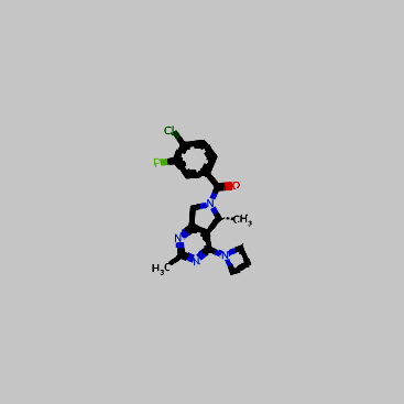 Cc1nc2c(c(N3CCC3)n1)[C@@H](C)N(C(=O)c1ccc(Cl)c(F)c1)C2